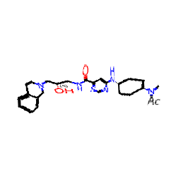 CC(=O)N(C)[C@H]1CC[C@H](Nc2cc(C(=O)NC[C@H](O)CN3CCc4ccccc4C3)ncn2)CC1